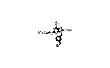 COCCOc1nc(N)c2nc(OC)n(Cc3cccc(CBr)c3)c2n1